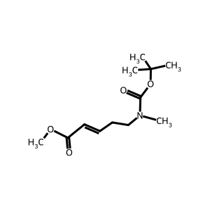 COC(=O)/C=C/CCN(C)C(=O)OC(C)(C)C